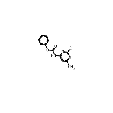 Cc1cc(NC(=O)Oc2ccccc2)nc(Cl)n1